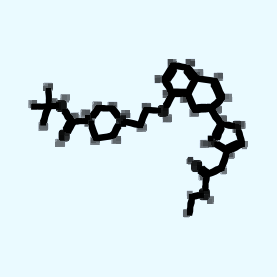 CCOC(=O)Cc1csc(-c2ccc3cccc(OCCN4CCN(C(=O)OC(C)(C)C)CC4)c3c2)n1